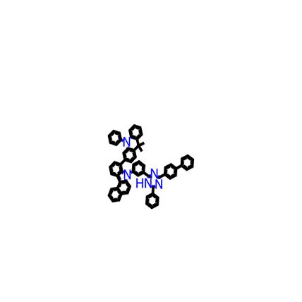 CC1(C)c2ccccc2N(c2ccccc2)c2cc(-c3cccc4c5c6ccccc6ccc5n(-c5cccc(C6=NC(c7ccc(-c8ccccc8)cc7)=NC(c7ccccc7)N6)c5)c34)ccc21